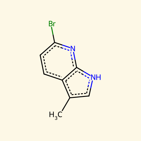 Cc1c[nH]c2nc(Br)ccc12